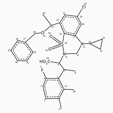 Cc1ccc(F)c(C(C)C(C(=O)O)N2CN(C3CC3)c3cc(Cl)cc(C(C)OCc4ccccc4)c3S2(=O)=O)c1C